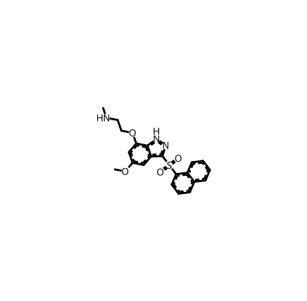 CNCCOc1cc(OC)cc2c(S(=O)(=O)c3cccc4ccccc34)n[nH]c12